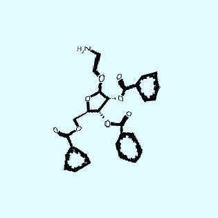 NCCOC1O[C@H](COC(=O)c2ccccc2)[C@@H](OC(=O)c2ccccc2)[C@H]1OC(=O)c1ccccc1